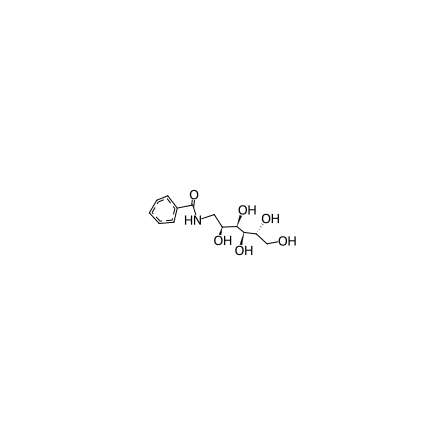 O=C(NC[C@H](O)[C@@H](O)[C@H](O)[C@H](O)CO)c1ccccc1